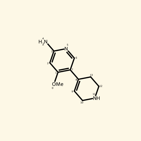 COc1cc(N)ncc1C1=CCNCC1